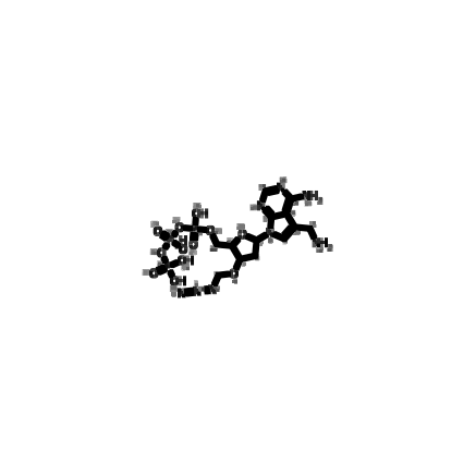 [N-]=[N+]=NCOC1CC(n2cc(CN)c3c(N)ncnc32)OC1COP(=O)(O)OP(=O)(O)OP(=O)(O)O